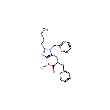 CCCCc1ncc(CC(Cc2ccccc2)C(=O)OC)n1Cc1ccccc1